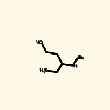 CCC(C)NC(CN)CCO